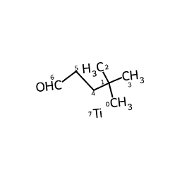 CC(C)(C)CCC=O.[Ti]